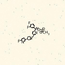 CS(=O)(=O)CON=C(c1ccc(F)c(F)c1)c1ccc(CN2CCC(c3ccc(F)nc3)CC2)cn1